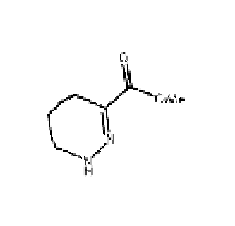 COC(=O)C1=NNCCC1